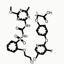 COc1nc(C)nc(NC(=O)NS(=O)(=O)c2ccccc2OCCCl)n1.C[C@@H](Oc1ccc(Oc2ncc(Cl)cc2F)cc1)C(=O)O